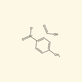 Cc1ccc([N+](=O)[O-])cc1.O=CO